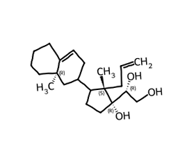 C=CC[C@@]1(C)C(C2CC=C3CCCC[C@]3(C)C2)CC[C@]1(O)[C@H](O)CO